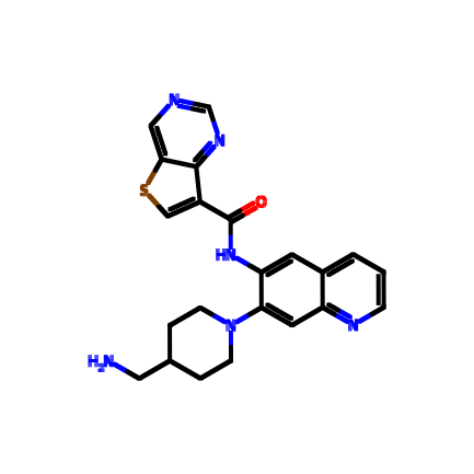 NCC1CCN(c2cc3ncccc3cc2NC(=O)c2csc3cncnc23)CC1